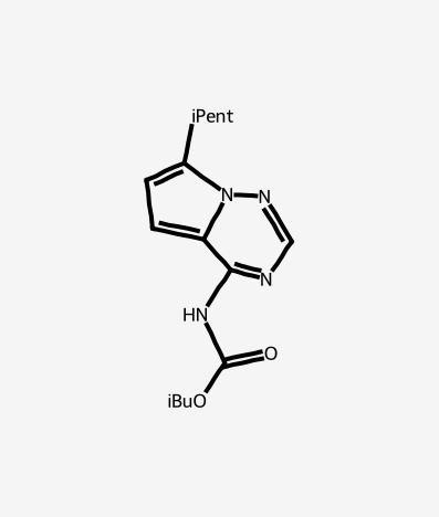 CCCC(C)c1ccc2c(NC(=O)OCC(C)C)ncnn12